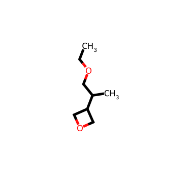 CCOCC(C)C1COC1